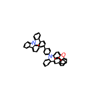 c1ccc(N(c2ccc(-c3ccc(-c4ccccc4-n4c5ccccc5c5ccccc54)cc3)cc2)c2ccc3oc4ccccc4c3c2)c(-c2ccc3ccccc3c2)c1